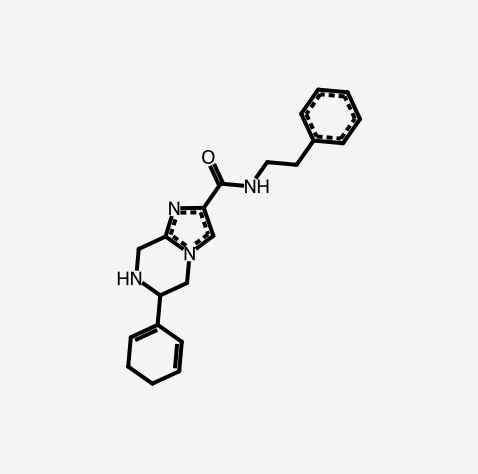 O=C(NCCc1ccccc1)c1cn2c(n1)CNC(C1=CCCC=C1)C2